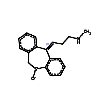 CNCC/C=C1/c2ccccc2C[S+]([O-])c2ccccc21